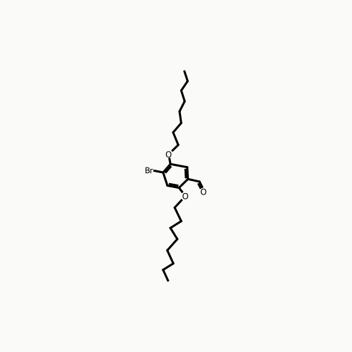 CCCCCCCCOc1cc(C=O)c(OCCCCCCCC)cc1Br